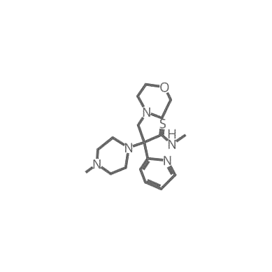 CNC(=S)C(CN1CCOCC1)(c1ccccn1)N1CCN(C)CC1